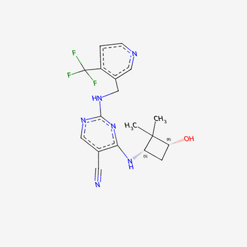 CC1(C)[C@H](O)C[C@@H]1Nc1nc(NCc2cnccc2C(F)(F)F)ncc1C#N